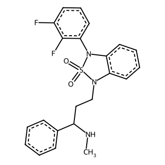 CNC(CCN1c2ccccc2N(c2cccc(F)c2F)S1(=O)=O)c1ccccc1